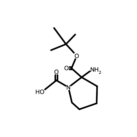 CC(C)(C)OC(=O)C1(N)CCCCN1C(=O)O